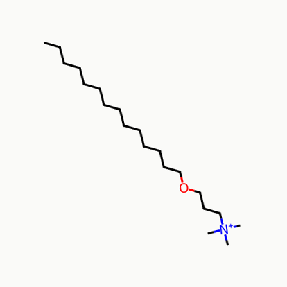 CCCCCCCCCCCCCCOCCC[N+](C)(C)C